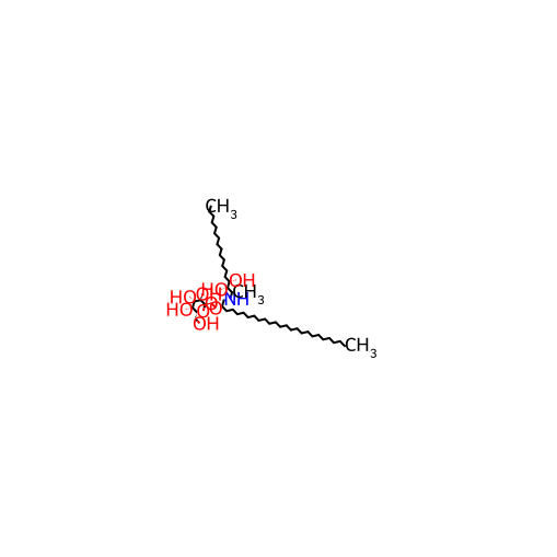 CCCCCCCCCCCCCCCCCCCCCCCCC(CN[C@@H](C)[C@H](O)[C@@H](O)CCCCCCCCCCCCCC)OO[C@H]1O[C@H](CO)[C@H](O)[C@H](O)[C@H]1O